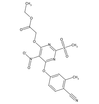 CCOC(=O)COc1nc(S(C)(=O)=O)nc(Oc2ccc(C#N)c(C)c2)c1[N+](=O)[O-]